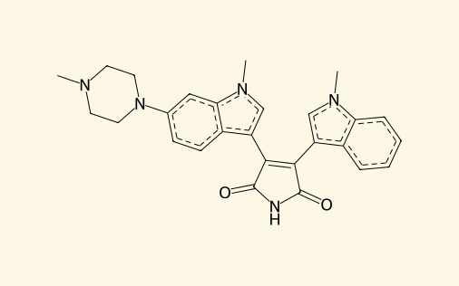 CN1CCN(c2ccc3c(C4=C(c5cn(C)c6ccccc56)C(=O)NC4=O)cn(C)c3c2)CC1